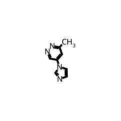 Cc1cc(-n2ccnc2)cnn1